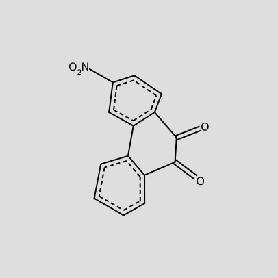 O=C1C(=O)c2ccc([N+](=O)[O-])cc2-c2ccccc21